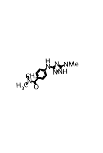 CNc1nc(Nc2ccc(C(=O)N(C)C)cc2)n[nH]1